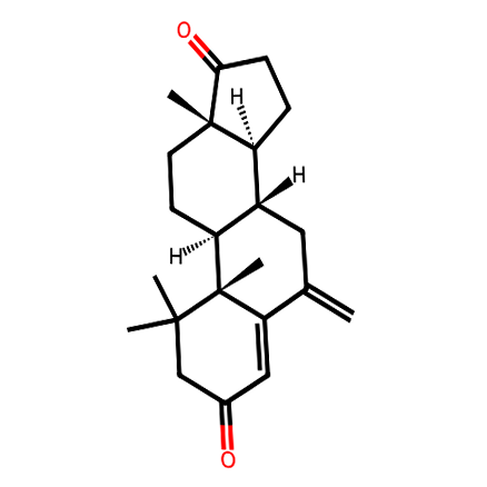 C=C1C[C@@H]2[C@H](CC[C@]3(C)C(=O)CC[C@@H]23)[C@]2(C)C1=CC(=O)CC2(C)C